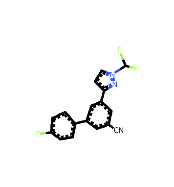 N#Cc1cc(-c2ccc(F)cc2)cc(-c2ccn(C(F)F)n2)c1